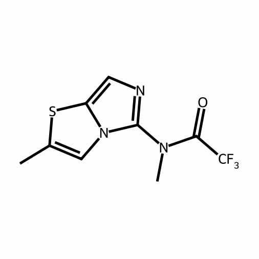 Cc1cn2c(N(C)C(=O)C(F)(F)F)ncc2s1